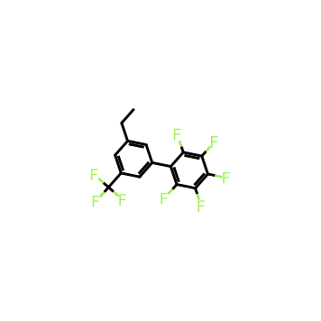 CCc1cc(-c2c(F)c(F)c(F)c(F)c2F)cc(C(F)(F)F)c1